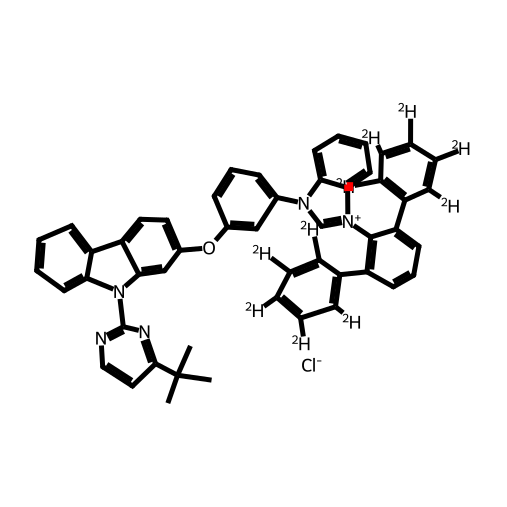 [2H]c1c([2H])c([2H])c(-c2cccc(-c3c([2H])c([2H])c([2H])c([2H])c3[2H])c2-[n+]2cn(-c3cccc(Oc4ccc5c6ccccc6n(-c6nccc(C(C)(C)C)n6)c5c4)c3)c3ccccc32)c([2H])c1[2H].[Cl-]